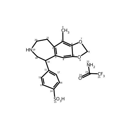 Cc1c2c(cc3c1OCO3)C(c1ccc(S(=O)(=O)O)cc1)CNCC2.NC(=O)C(F)(F)F